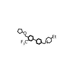 CCC1CCN(Cc2ccc(-c3ccc(COC4CCCC4)c(C(F)(F)F)c3)cc2)CC1